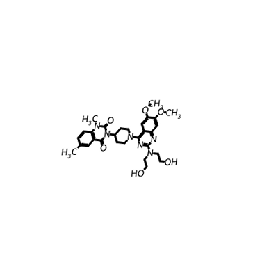 COc1cc2nc(N(CCO)CCO)nc(N3CCC(n4c(=O)c5cc(C)ccc5n(C)c4=O)CC3)c2cc1OC